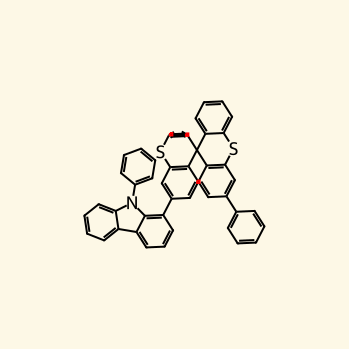 c1ccc(-c2ccc3c(c2)Sc2ccccc2C32c3ccccc3Sc3cc(-c4cccc5c6ccccc6n(-c6ccccc6)c45)ccc32)cc1